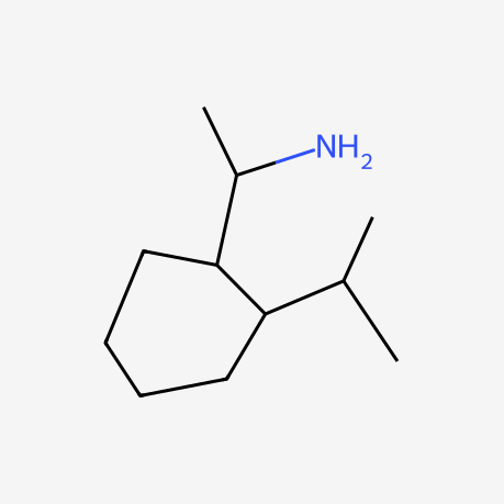 CC(C)C1CCCCC1C(C)N